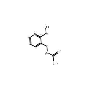 NC(=O)OCc1cccnc1CO